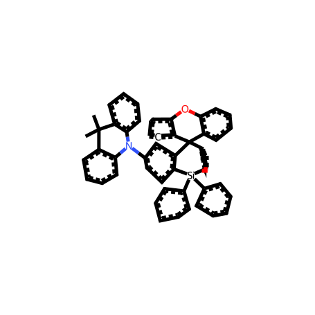 CC1(C)c2ccccc2N(c2ccc3c(c2)C2(c4ccccc4Oc4ccccc42)c2ccccc2[Si]3(c2ccccc2)c2ccccc2)c2ccccc21